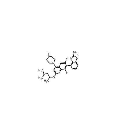 CC(CN(C)C)Oc1nc(N2CCNCC2)c2cc(Cl)c(-c3cccc4sc(N)nc34)c(F)c2n1